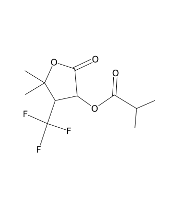 CC(C)C(=O)OC1C(=O)OC(C)(C)C1C(F)(F)F